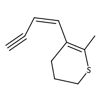 C#C/C=C\C1=C(C)SCCC1